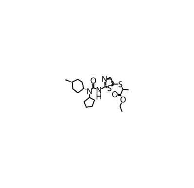 CCOC(=O)C(C)Sc1cnc(NC(=O)N(C2CCCC2)[C@H]2CC[C@H](C)CC2)s1